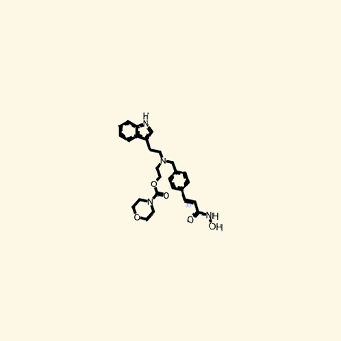 O=C(/C=C/c1ccc(CN(CCOC(=O)N2CCOCC2)CCc2c[nH]c3ccccc23)cc1)NO